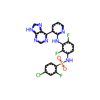 O=S(=O)(Nc1ccc(F)c(Nc2ncccc2-c2ncnc3[nH]cnc23)c1F)c1ccc(Cl)cc1F